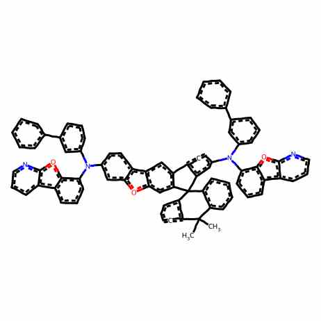 CC1(C)c2ccccc2C2(c3cc(N(c4cccc(-c5ccccc5)c4)c4cccc5c4oc4ncccc45)ccc3-c3cc4c(cc32)oc2cc(N(c3cccc(-c5ccccc5)c3)c3cccc5c3oc3ncccc35)ccc24)c2ccccc21